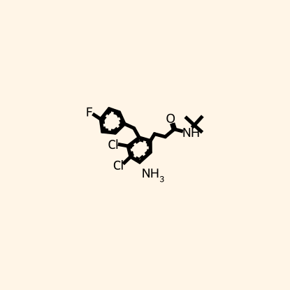 CC(C)(C)NC(=O)CCc1ccc(Cl)c(Cl)c1Cc1ccc(F)cc1.N